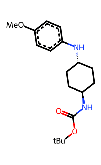 COc1ccc(N[C@H]2CC[C@H](NC(=O)OC(C)(C)C)CC2)cc1